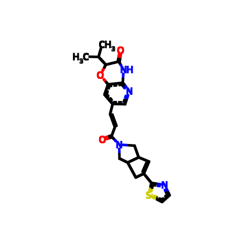 CC(C)C1Oc2cc(/C=C/C(=O)N3CC4C=C(c5nccs5)CC4C3)cnc2NC1=O